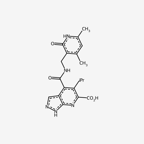 Cc1cc(C)c(CNC(=O)c2c(C(C)C)c(C(=O)O)nc3[nH]ncc23)c(=O)[nH]1